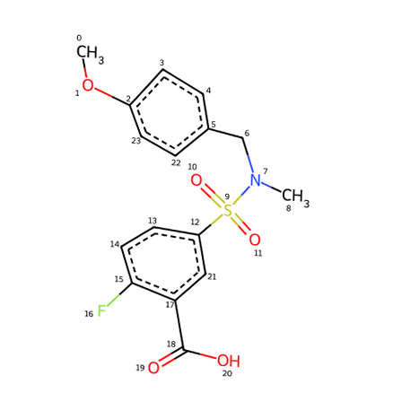 COc1ccc(CN(C)S(=O)(=O)c2ccc(F)c(C(=O)O)c2)cc1